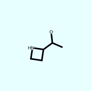 CC([O])C1CCN1